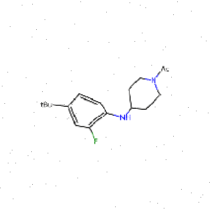 CC(=O)N1CCC(Nc2ccc(C(C)(C)C)cc2F)CC1